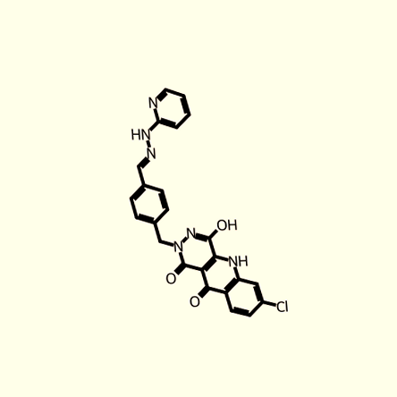 O=c1c2ccc(Cl)cc2[nH]c2c(O)nn(Cc3ccc(C=NNc4ccccn4)cc3)c(=O)c12